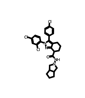 O=C(NN1CC2CCCC2C1)C1CCCc2c1nn(-c1ccc(Cl)cc1Cl)c2-c1ccc(Cl)cc1